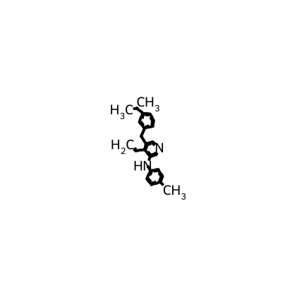 C=Cc1c(Cc2cccc(C(C)C)c2)cncc1Nc1ccc(C)cc1